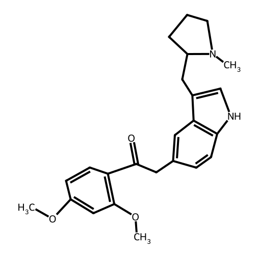 COc1ccc(C(=O)Cc2ccc3[nH]cc(CC4CCCN4C)c3c2)c(OC)c1